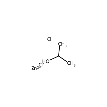 CC(C)O.[Cl-].[Cl-].[Zn+2]